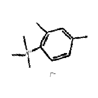 Cc1ccc([N+](C)(C)C)c(C)c1.[F-]